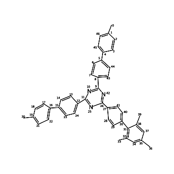 Cc1ccc(-c2ccc(-c3nc(-c4ccc(-c5ccc(C)cc5)cc4)nc(-c4ccc(-c5c(C)cc(C)cc5C)cc4)n3)cc2)cc1